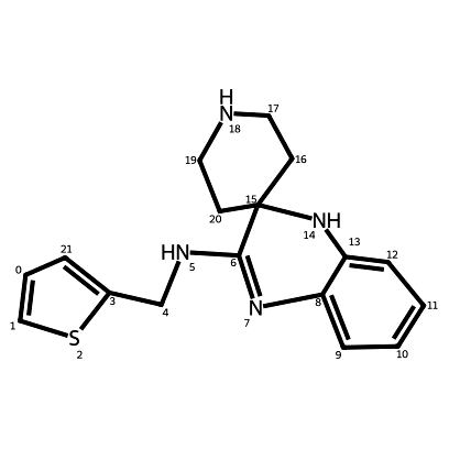 c1csc(CNC2=Nc3ccccc3NC23CCNCC3)c1